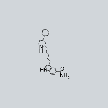 NC(=O)c1ccc2[nH]cc(CCCCCC3CC(c4ccccc4)=CCN3)c2c1